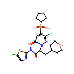 O=C(Nc1ncc(Cl)s1)C(CC1CCOCC1)n1cc(Cl)c(S(=O)(=O)C2CCCC2)cc1=O